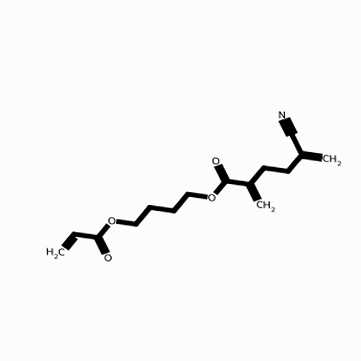 C=CC(=O)OCCCCOC(=O)C(=C)CCC(=C)C#N